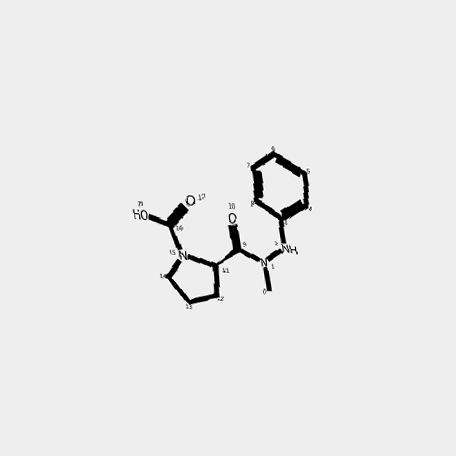 CN(Nc1ccccc1)C(=O)[C@H]1CCCN1C(=O)O